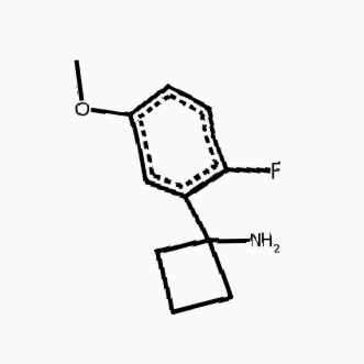 COc1ccc(F)c(C2(N)CCC2)c1